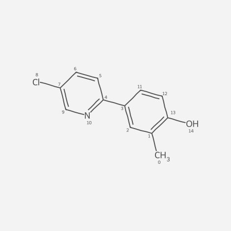 Cc1cc(-c2ccc(Cl)cn2)ccc1O